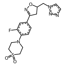 O=S1(=O)CCN(c2ccc(C3=NOC(Cn4ccnn4)C3)cc2F)CC1